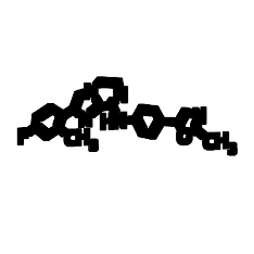 Cc1ncc(-c2ccc(Nc3nccn4cc(-c5ccc(F)cc5C)nc34)cc2)o1